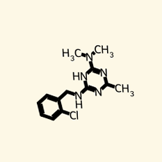 CC1N=C(NCc2ccccc2Cl)NC(N(C)C)=N1